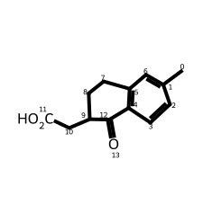 Cc1ccc2c(c1)CCC(CC(=O)O)C2=O